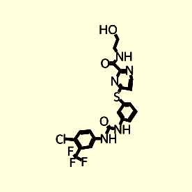 O=C(Nc1cccc(Sc2ccnc(C(=O)NCCO)n2)c1)Nc1ccc(Cl)c(C(F)(F)F)c1